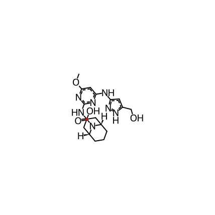 COc1cc(Nc2cc(CO)[nH]n2)nc(NC2C[C@H]3CCC[C@@H](C2)N3C(=O)O)n1